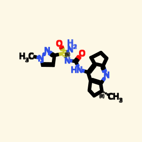 C[C@@H]1CCc2c1nc1c(c2NC(=O)N=[S@](N)(=O)c2ccn(C)n2)CCC1